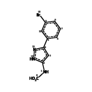 O=C(O)Nc1cc(-c2cccc(Br)c2)n[nH]1